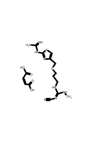 CN/C(=N/C#N)NCCCSCc1csc(NC(=N)N)n1.O=C(O)/C=C\C(=O)O